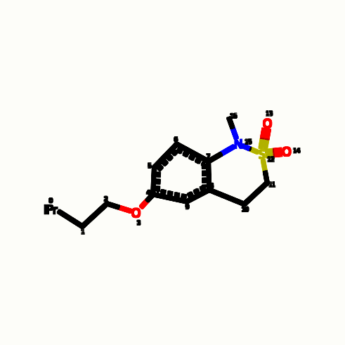 CC(C)CCOc1ccc2c(c1)CCS(=O)(=O)N2C